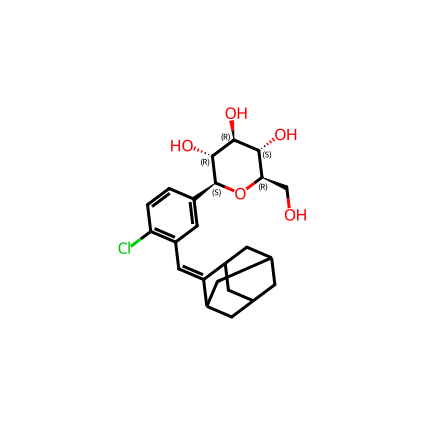 OC[C@H]1O[C@@H](c2ccc(Cl)c(C=C3C4CC5CC(C4)CC3C5)c2)[C@H](O)[C@@H](O)[C@@H]1O